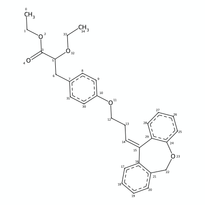 CCOC(=O)C(Cc1ccc(OCCC=C2c3ccccc3COc3ccccc32)cc1)OCC